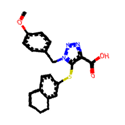 COc1ccc(Cn2nnc(C(=O)O)c2Sc2ccc3c(c2)CCCC3)cc1